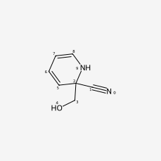 N#CC1(CO)C=CC=CN1